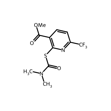 COC(=O)c1ccc(C(F)(F)F)nc1SC(=O)N(C)C